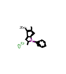 CC1=[C]([Zr+2])C2=CC(C)P(c3ccccc3)C2=C1.[Cl-].[Cl-]